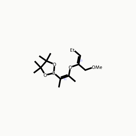 CC/C=C(/COC)O/C(C)=C(/C)B1OC(C)(C)C(C)(C)O1